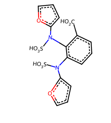 O=C(O)c1cccc(N(c2ccco2)S(=O)(=O)O)c1N(c1ccco1)S(=O)(=O)O